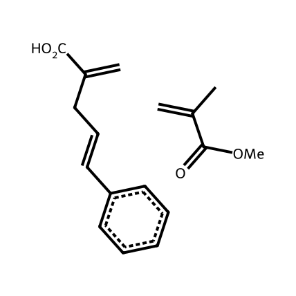 C=C(C)C(=O)OC.C=C(CC=Cc1ccccc1)C(=O)O